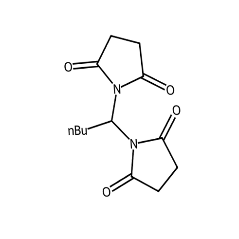 CCCCC(N1C(=O)CCC1=O)N1C(=O)CCC1=O